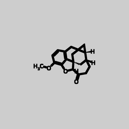 COc1ccc2c3c1O[C@H]1C(=O)CC[C@@H]4C[C@@]31CC1(C2)C[C@@H]41